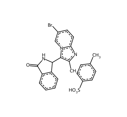 Cc1ccc(S(=O)(=O)O)cc1.Cc1nc2ccc(Br)cn2c1C1NC(=O)c2ccccc21